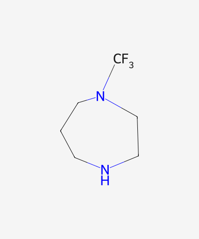 FC(F)(F)N1CCCNCC1